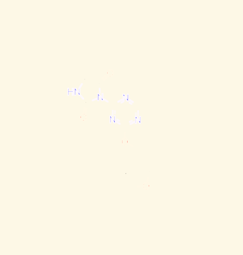 Cc1ccc(Oc2ncnc(N3C(=O)NC(C)(C)C3=O)n2)c2c1OCC2(C)C